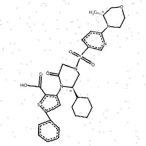 C[C@@H]1COCCN1c1ccc(S(=O)(=O)N2CC(=O)N(c3cc(-c4ccccc4)sc3C(=O)O)[C@H](C3CCCCC3)C2)cn1